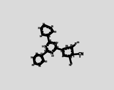 N#Cc1c(F)cc(-c2nc(-c3ccccc3)nc(-c3ccccc3)n2)cc1F